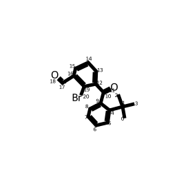 CC(C)(C)c1ccccc1C(=O)c1cccc([C]=O)c1Br